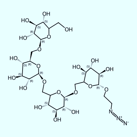 [N-]=[N+]=NCCO[C@@H]1OC(CO[C@@H]2OC(CO[C@@H]3O[C@H](CO[C@@H]4OC(CO)[C@@H](O)[C@H](O)[C@H]4O)[C@@H](O)[C@H](O)[C@H]3O)[C@@H](O)[C@H](O)[C@H]2O)[C@@H](O)[C@H](O)[C@H]1O